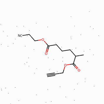 C#CCOC(=O)C(C)CCCC(=O)OCCC#N